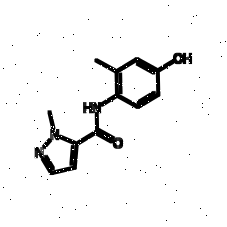 Cc1cc(O)ccc1NC(=O)c1ccnn1C